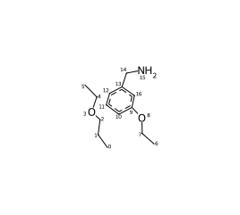 CCCOCC.CCOc1cccc(CN)c1